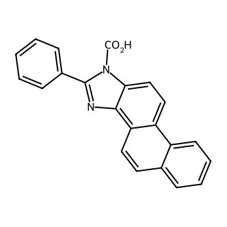 O=C(O)n1c(-c2ccccc2)nc2c3ccc4ccccc4c3ccc21